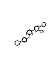 N#Cc1nc(-c2ccnc(Cc3ccc(N4CCOCC4)cc3)n2)ccc1N1CCCC1